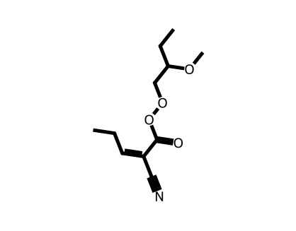 CCC=C(C#N)C(=O)OOCC(CC)OC